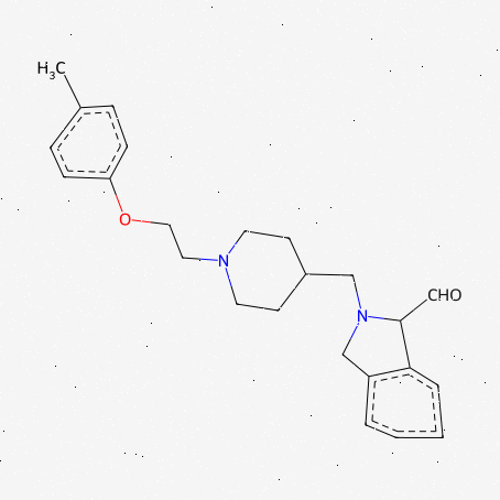 Cc1ccc(OCCN2CCC(CN3Cc4ccccc4C3C=O)CC2)cc1